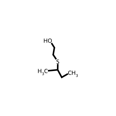 CCC(C)SCCO